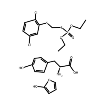 CCOP(=S)(OCC)SCSc1cc(Cl)ccc1Cl.N[C@@H](Cc1ccc(O)cc1)C(=O)O.Oc1ccco1